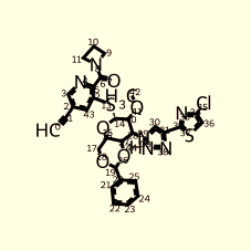 C#Cc1cnc(C(=O)N2CCC2)c(S[C@H]2OC3COC(c4ccccc4)O[C@@H]3C(n3cc(-c4nc(Cl)cs4)nn3)C2OC)c1